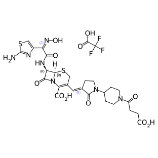 Nc1nc(/C(=N/O)C(=O)N[C@@H]2C(=O)N3C(C(=O)O)=C(/C=C4\CCN(C5CCN(C(=O)CCC(=O)O)CC5)C4=O)CS[C@H]23)cs1.O=C(O)C(F)(F)F